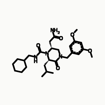 COc1cc(CN2C[C@@H](CC(N)=O)N(C(=O)NCC3CCCCC3)[C@@H](CC(C)C)C2=O)cc(OC)c1